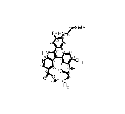 C=CC(=O)Nc1cc(-c2c(-c3ccc(NCCNC)c(F)c3)[nH]c3ncc(C(=O)OC(C)C)cc23)ccc1C